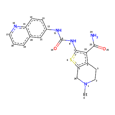 CCN1CCc2c(sc(NC(=O)Nc3ccc4ncccc4c3)c2C(N)=O)C1